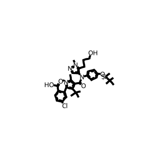 Cc1c(C(=O)N(c2ccc(O[Si](C)(C)C(C)(C)C)cc2)c2cnn(C)c2CCCO)c(C(C)(C)C)c(-c2cc(Cl)ccc2C(=O)O)n1C